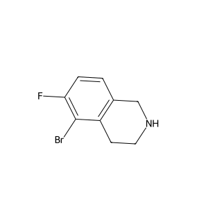 Fc1ccc2c(c1Br)CCNC2